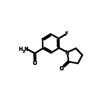 NC(=O)c1ccc(F)c(N2CCCC2=O)c1